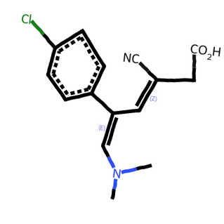 CN(C)/C=C(\C=C(/C#N)CC(=O)O)c1ccc(Cl)cc1